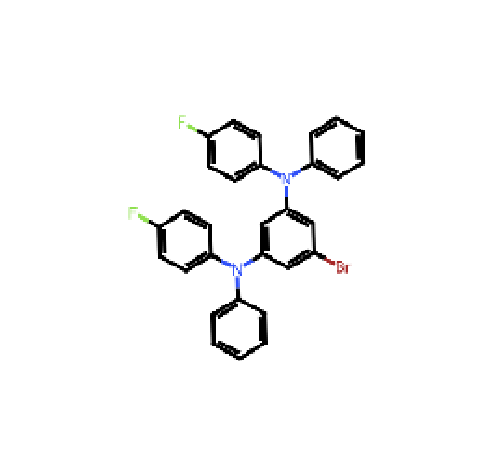 Fc1ccc(N(c2ccccc2)c2cc(Br)cc(N(c3ccccc3)c3ccc(F)cc3)c2)cc1